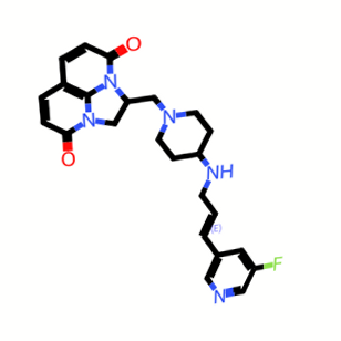 O=c1ccc2ccc(=O)n3c2n1CC3CN1CCC(NC/C=C/c2cncc(F)c2)CC1